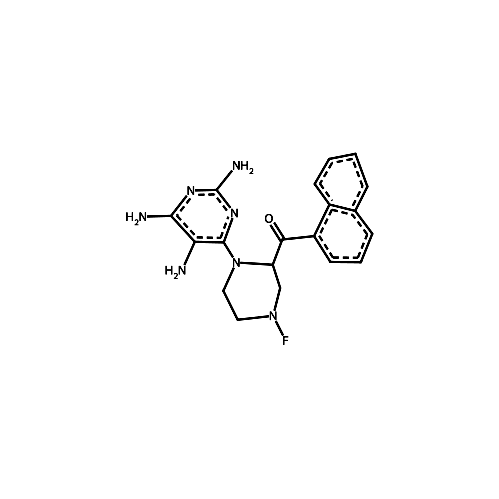 Nc1nc(N)c(N)c(N2CCN(F)CC2C(=O)c2cccc3ccccc23)n1